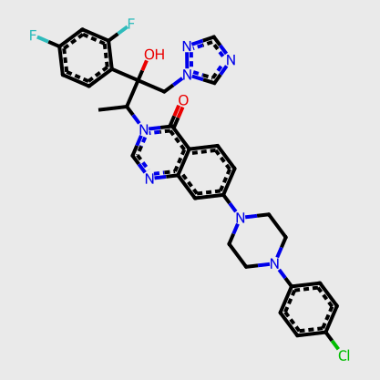 CC(n1cnc2cc(N3CCN(c4ccc(Cl)cc4)CC3)ccc2c1=O)C(O)(Cn1cncn1)c1ccc(F)cc1F